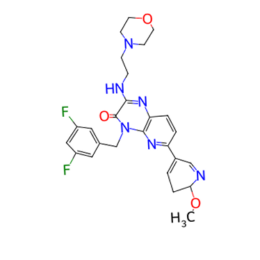 COC1CC=C(c2ccc3nc(NCCN4CCOCC4)c(=O)n(Cc4cc(F)cc(F)c4)c3n2)C=N1